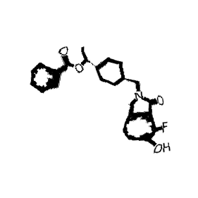 CC(OC(=O)c1ccccc1)[C@H]1CC[C@H](CN2Cc3ccc(O)c(F)c3C2=O)CC1